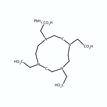 O=C(O)CN1CCN(CC(=O)O)CCN(CC(=O)O)CCN(CC(=O)O)CC1.[PbH2]